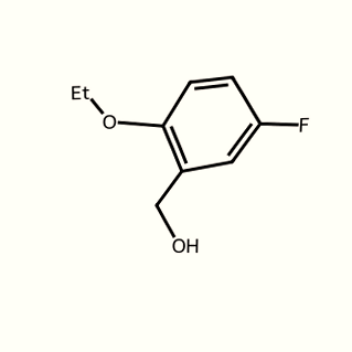 CCOc1ccc(F)cc1CO